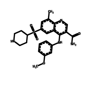 COc1cccc(Nc2c(C(N)=O)cnc3c(C)cc(S(=O)(=O)C4CCNCC4)cc23)c1